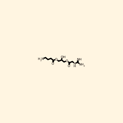 N=C(N)NCC(=O)OCC(O)COC(=O)CCCN